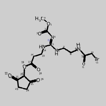 COC(=O)/N=C(/NCCNC(=O)CBr)NCCC(=O)OC1C(=O)CCC1=O